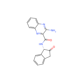 Nc1nc2ccccc2nc1C(=O)N[C@@H]1C(=O)Cc2ccccc21